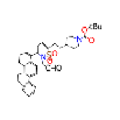 CC(C)(C)OC(=O)N1CCC(CCC2=CC=C(C3=CCCc4c3ccc3c4CCc4ccccc4-3)N(CC=O)S2(=O)=O)CC1